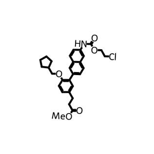 COC(=O)CCc1ccc(OCC2CCCC2)c(-c2ccc3cc(NC(=O)OCCCl)ccc3c2)c1